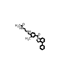 CC(=O)NCCNCc1ccc(C(=O)N2CCc3c(-c4ccccc4)cccc32)cc1C